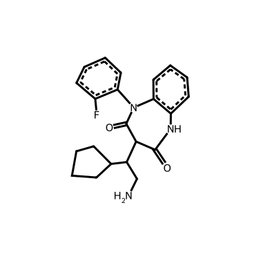 NCC(C1CCCC1)C1C(=O)Nc2ccccc2N(c2ccccc2F)C1=O